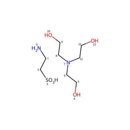 NCCS(=O)(=O)O.OCCN(CCO)CCO